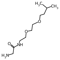 CC(C)CCOCCOCCNC(=O)CN